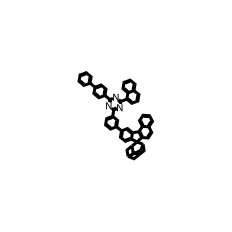 c1ccc(-c2ccc(-c3nc(-c4cccc(-c5ccc6c(c5)-c5c(ccc7ccccc57)C65C6CC7CC(C6)CC5C7)c4)nc(-c4cccc5ccccc45)n3)cc2)cc1